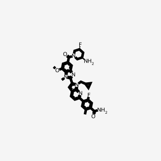 COc1cc(C(=O)N2C[C@H](N)C[C@@H](F)C2)cc2nc(-c3cc4ccc(-c5cc(C)c(C(N)=O)cc5F)nc4n3CC3CC3)n(C)c12